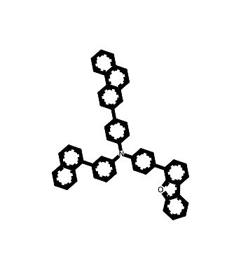 c1cc(-c2cccc3ccccc23)cc(N(c2ccc(-c3ccc4c(ccc5ccccc54)c3)cc2)c2ccc(-c3cccc4c3oc3ccccc34)cc2)c1